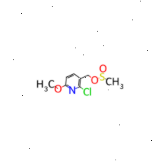 COc1ccc(COS(C)=O)c(Cl)n1